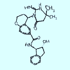 CC1(C)CC(=O)N(C2CCOc3ccc(C(=O)N[C@@H]4c5ccccc5C[C@H]4O)cc32)C(=N)N1